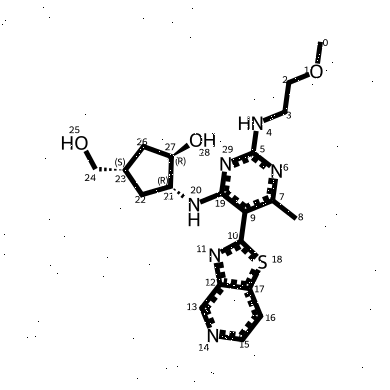 COCCNc1nc(C)c(-c2nc3cnccc3s2)c(N[C@@H]2C[C@H](CO)C[C@H]2O)n1